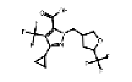 O=C(O)c1c(C(F)(F)F)c(C2CC2)nn1CC1COC(C(F)(F)F)C1